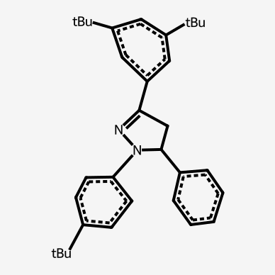 CC(C)(C)c1ccc(N2N=C(c3cc(C(C)(C)C)cc(C(C)(C)C)c3)CC2c2ccccc2)cc1